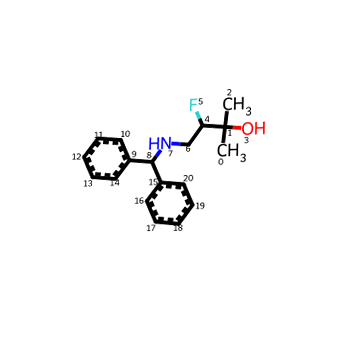 CC(C)(O)C(F)CNC(c1ccccc1)c1ccccc1